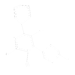 C#Cc1c(C(C)C)nc(-c2ccccc2)c(C)c1-c1ccc(F)cc1